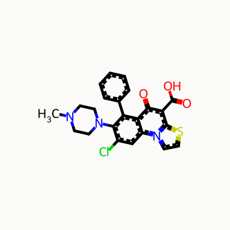 CN1CCN(c2c(Cl)cc3c(c2-c2ccccc2)c(=O)c(C(=O)O)c2sccn23)CC1